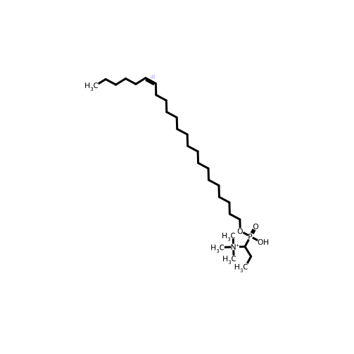 CCCCC/C=C\CCCCCCCCCCCCCCCCOP(=O)(O)C(CC)[N+](C)(C)C